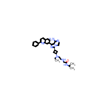 CCN(CCNCC(=O)NC(C)C)[C@H]1C[C@@H](c2nc(-c3ccc4ccc(-c5ccccc5)nc4c3)c3c(N)nccn32)C1